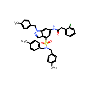 COc1ccc(CN(Cc2ccc(OC)cc2)S(=O)(=O)c2cc(NC(=O)Cc3ccccc3Cl)cc3c2cnn3Cc2ccc(C(F)(F)F)cc2)cc1